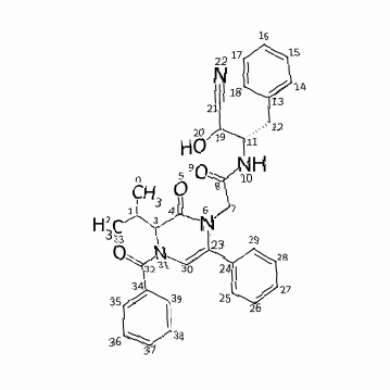 CC(C)C1C(=O)N(CC(=O)N[C@@H](Cc2ccccc2)C(O)C#N)C(c2ccccc2)=CN1C(=O)c1ccccc1